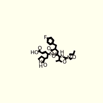 CC1=CN(C(=O)NC(C(=O)CC(Cc2ccc(F)cc2)C(=O)NC(C=CC(=O)O)CC2CCNC2=O)C(C)C)CO1